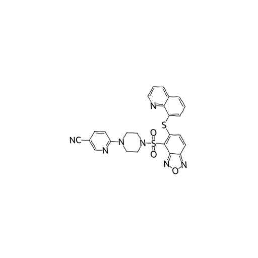 N#Cc1ccc(N2CCN(S(=O)(=O)c3c(Sc4cccc5cccnc45)ccc4nonc34)CC2)nc1